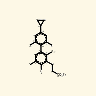 CCOC(=O)CCc1c(F)c(C)cc(-c2c(C)cc(C3CC3)cc2C)c1F